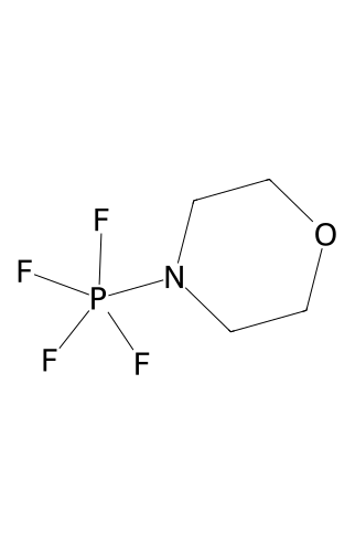 FP(F)(F)(F)N1CCOCC1